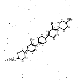 CCCCCCC1CCC(c2ccc(C3=CCC(c4ccc(C5CCC(CC)CC5)c(F)c4)CC3)c(F)c2)CC1